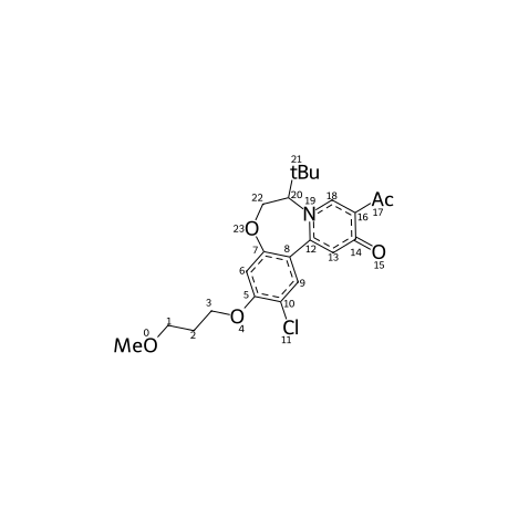 COCCCOc1cc2c(cc1Cl)-c1cc(=O)c(C(C)=O)cn1C(C(C)(C)C)CO2